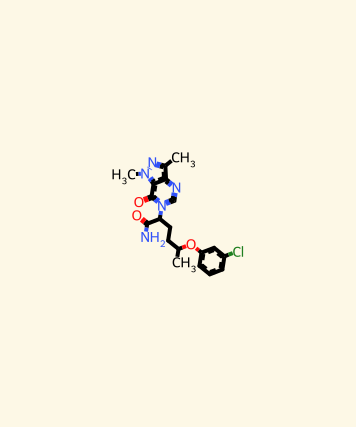 Cc1nn(C)c2c(=O)n(C(CCC(C)Oc3cccc(Cl)c3)C(N)=O)cnc12